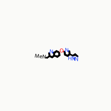 CNCc1cnc2cc(Oc3ccc(-c4ccn[nH]4)cn3)ccc2c1